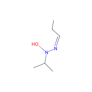 CC/C=N\N(O)C(C)C